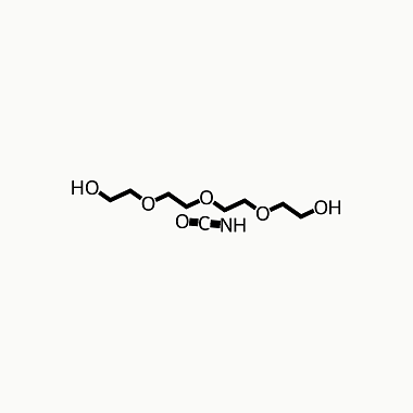 N=C=O.OCCOCCOCCOCCO